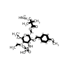 CCO[C@@H]1[C@@H](OC)O[C@H](COC(=O)C(C)(C)C)[C@@H](OCc2ccc(OC)cc2)[C@@H]1NS(=O)(=O)O.[NaH]